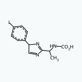 CC(NC(=O)O)C1=NC(c2ccc(I)cc2)C=N1